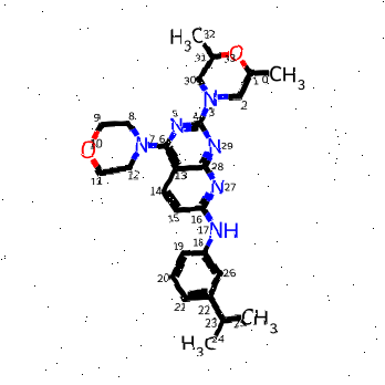 CC1CN(c2nc(N3CCOCC3)c3ccc(Nc4cccc(C(C)C)c4)nc3n2)CC(C)O1